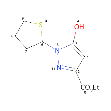 CCOC(=O)c1cc(O)n(C2CCCS2)n1